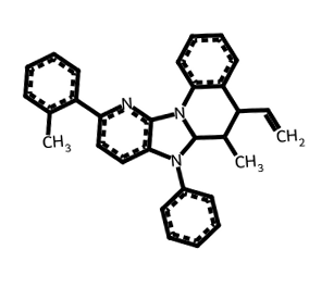 C=CC1c2ccccc2N2c3nc(-c4ccccc4C)ccc3N(c3ccccc3)C2C1C